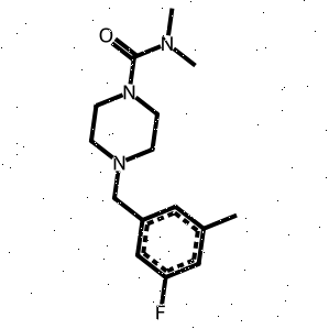 Cc1cc(F)cc(CN2CCN(C(=O)N(C)C)CC2)c1